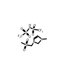 CN1C=CN(CS(C)(=O)=O)C1.O=S(=O)(NS(=O)(=O)C(F)(F)F)C(F)(F)F